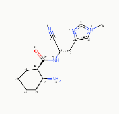 Cn1cnc(C[C@@H](C#N)NC(=O)[C@@H]2CCCC[C@@H]2N)c1